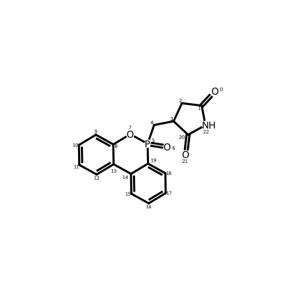 O=C1CC(CP2(=O)Oc3ccccc3-c3ccccc32)C(=O)N1